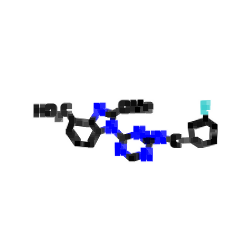 COc1nc2c(C(=O)O)cccc2n1-c1ncnc(NCc2cccc(F)c2)n1